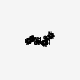 O=C(CNc1cccc(C(=O)Nc2cccnc2)c1)Nc1ccc2cnccc2c1